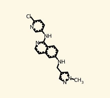 Cn1cc(CNc2ccc3c(Nc4ccc(Cl)nc4)nccc3c2)cn1